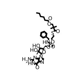 CCCCCC(=O)OCC(C)(C)C(=O)SCCOP(=O)(NCc1ccccc1)OC[C@H]1O[C@@H](n2cnc3c(=O)[nH]c(N)nc32)[C@](C)(O)[C@@H]1O